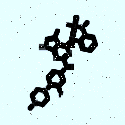 Cc1c[nH]c2nc(Nc3ccc(N4CCN(C)CC4)c(F)c3)nc(Nc3ccccc3N(C)S(C)(=O)=O)c12